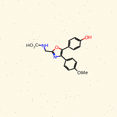 COc1ccc(-c2nc(CNC(=O)O)oc2-c2ccc(O)cc2)cc1